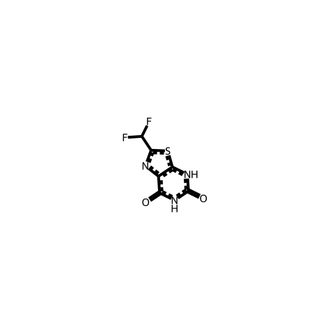 O=c1[nH]c(=O)c2nc(C(F)F)sc2[nH]1